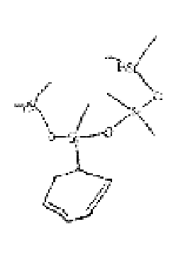 C[SiH](C)O[Si](C)(C)O[Si](C)(O[SiH](C)C)C1C=CC=CC1